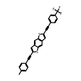 Cc1ccc(C#Cc2cc3cc4sc(C#Cc5ccc(C(F)(F)F)cc5)cc4cc3s2)cc1